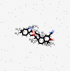 CNC(=O)[C@]1(CCC(C)(C)[C@]2(C)CC[C@H]3C(C)(C)C(=O)C(C#N)=C[C@]3(C)/C2=C/C(C)=O)CCC(C)(C)CC1C